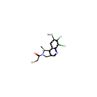 COc1cc2c3c(cnc2c(Cl)c1Cl)CN(C(=O)CBr)[C@H]3C